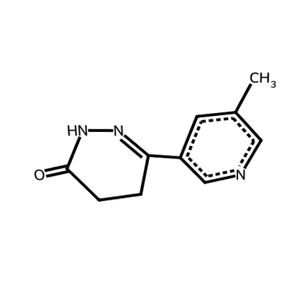 Cc1cncc(C2=NNC(=O)CC2)c1